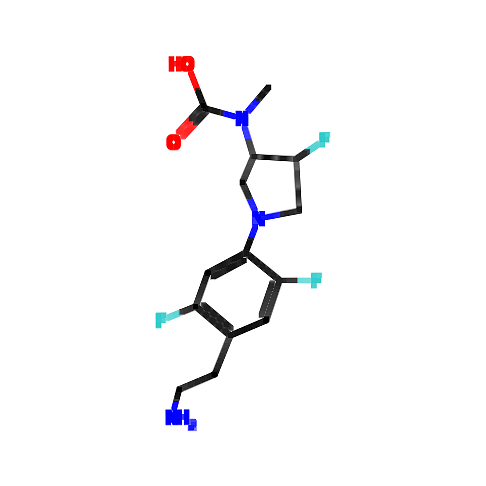 CN(C(=O)O)C1CN(c2cc(F)c(CCN)cc2F)CC1F